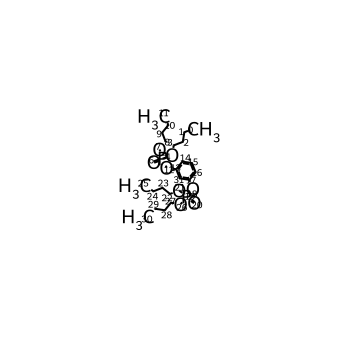 CCCCOP(=O)(OCCCC)Oc1cccc(OP(=O)(OCCCC)OCCCC)c1